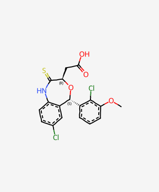 COc1cccc([C@H]2O[C@H](CC(=O)O)C(=S)Nc3ccc(Cl)cc32)c1Cl